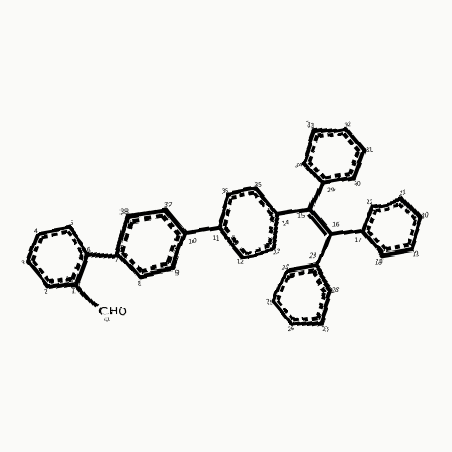 O=Cc1ccccc1-c1ccc(-c2ccc(C(=C(c3ccccc3)c3ccccc3)c3ccccc3)cc2)cc1